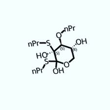 CCCO[C@H]1[C@H](O)COC(O)(SCCC)[C@@]1(O)SCCC